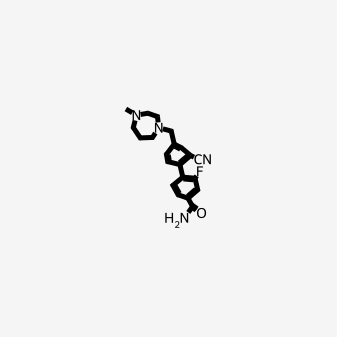 CN1CCCN(Cc2ccc(-c3ccc(C(N)=O)cc3F)c(C#N)c2)CC1